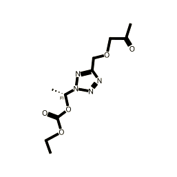 CCOC(=O)O[C@H](C)n1nnc(COCC(C)=O)n1